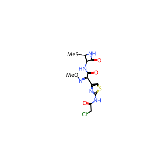 CON=C(C(=O)N[C@@H]1C(=O)N[C@@H]1SC)c1csc(NC(=O)CCl)n1